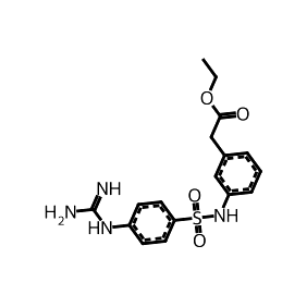 CCOC(=O)Cc1cccc(NS(=O)(=O)c2ccc(NC(=N)N)cc2)c1